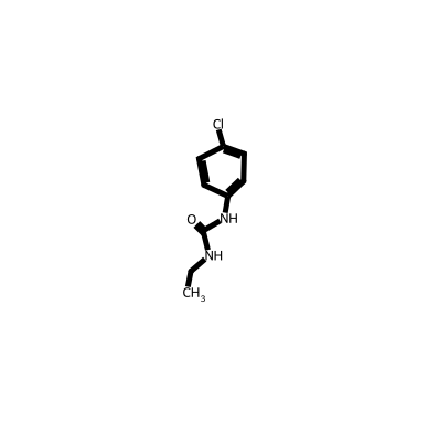 CCNC(=O)Nc1ccc(Cl)cc1